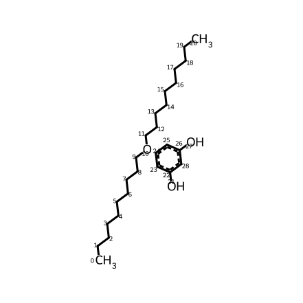 CCCCCCCCCCOCCCCCCCCCC.Oc1cccc(O)c1